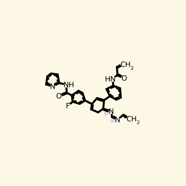 C=C/N=C\N=C1/CC=C(c2ccc(C(=O)Nc3ccccn3)c(F)c2)C=C1c1cccc(NC(=O)C=C)c1